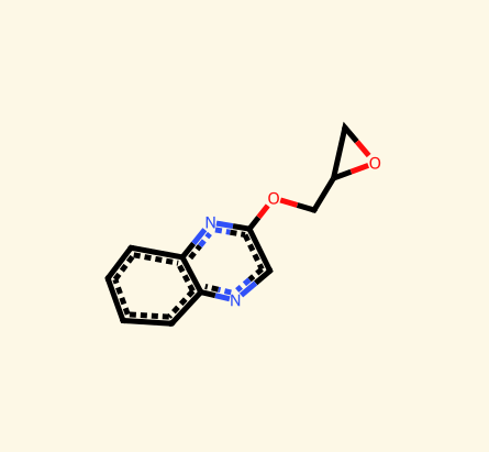 c1ccc2nc(OCC3CO3)cnc2c1